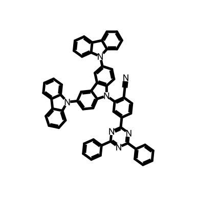 N#Cc1ccc(-c2nc(-c3ccccc3)nc(-c3ccccc3)n2)cc1-n1c2ccc(-n3c4ccccc4c4ccccc43)cc2c2cc(-n3c4ccccc4c4ccccc43)ccc21